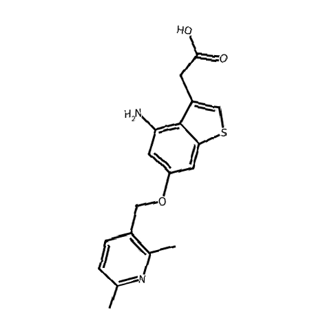 Cc1ccc(COc2cc(N)c3c(CC(=O)O)csc3c2)c(C)n1